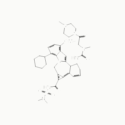 COc1ccc(C2CCCCC2)c2c1cc1n2CC2=C(C(=O)NS(=O)(=O)N(C)C)C2=C2C=CC[C@@H](NC(=O)N(C)CC(=O)N3CCN(C)CC3)C21